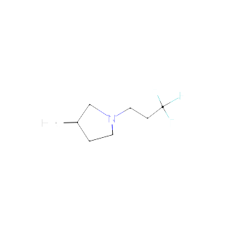 CC1CCN(CCC(F)(F)F)C1